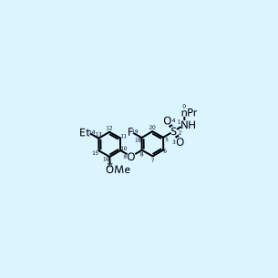 CCCNS(=O)(=O)c1ccc(Oc2ccc(CC)cc2OC)c(F)c1